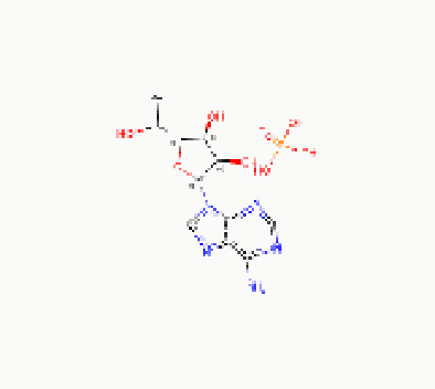 O=P(O)(O)O.[2H]C(O)[C@H]1O[C@@H](n2cnc3c(N)ncnc32)[C@H](O)[C@@H]1O